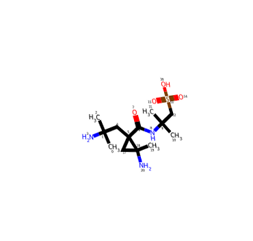 CC(C)(N)CC1(C(=O)NC(C)(C)CS(=O)(=O)O)CC1(C)N